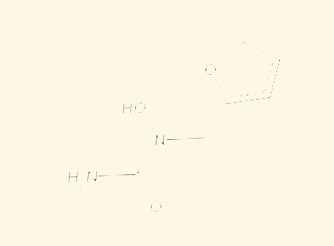 NC(=O)N(O)Cc1ccco1